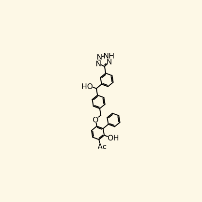 CC(=O)c1ccc(OCc2ccc(C(O)c3cccc(-c4nn[nH]n4)c3)cc2)c(-c2ccccc2)c1O